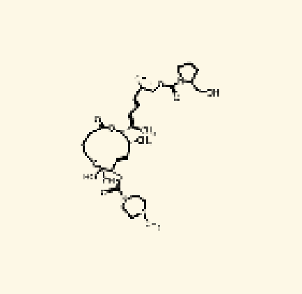 C/C(=C\C=C\[C@@H](C)COC(=O)N1CCC[C@H]1CO)[C@H]1OC(=O)CCCC[C@@](C)(O)[C@@H](OC(=O)N2CCN(C)CC2)/C=C/[C@@H]1C